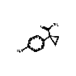 NC(=O)C1(c2ccc(N)cc2)CC1